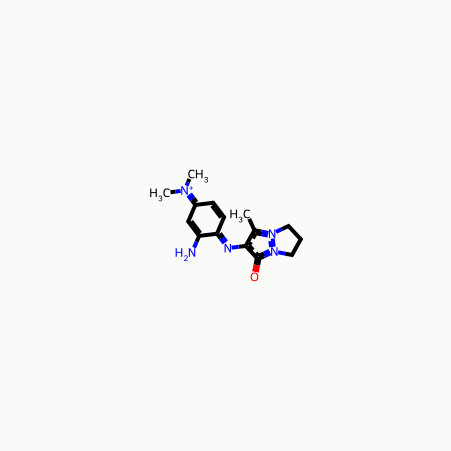 Cc1c(N=C2C=CC(=[N+](C)C)C=C2N)c(=O)n2n1CCC2